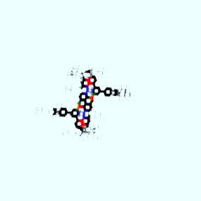 Cc1ccc(N(c2c(F)cc(-c3ccc([Si](C)(C)C)cc3)cc2-c2ccc([Si](C)(C)C)cc2)c2ccc3ccc4c(N(c5ccc(C)cc5C)c5c(F)cc(-c6ccc([Si](C)(C)C)cc6)cc5-c5ccc([Si](C)(C)C)cc5)ccc5ccc2c3c54)c(C)c1